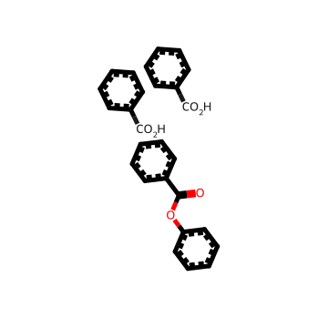 O=C(O)c1ccccc1.O=C(O)c1ccccc1.O=C(Oc1ccccc1)c1ccccc1